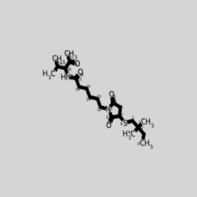 CCC(C)(C)CSC1CC(=O)N(CCCCCC(=O)NC(C(C)=O)C(C)C)C1=O